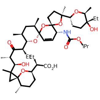 CC[C@@H](C(=O)[C@@H](C)[C@@H](O)C1(C)C[C@]12O[C@@H]([C@@H](CC)C(=O)O)CC[C@@H]2C)[C@H]1O[C@]2(C=C[C@@H](NC(=O)OC(C)C)[C@]3(CC[C@@](C)([C@H]4CC[C@](O)(CC)[C@H](C)O4)O3)O2)[C@H](C)C[C@@H]1C